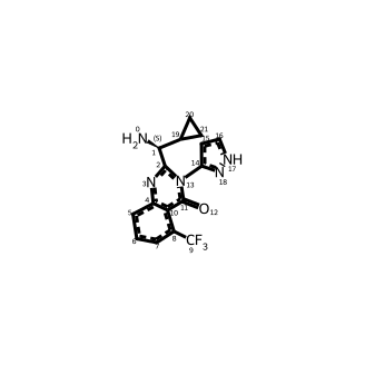 N[C@H](c1nc2cccc(C(F)(F)F)c2c(=O)n1-c1cc[nH]n1)C1CC1